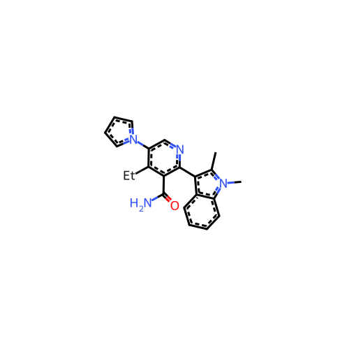 CCc1c(-n2cccc2)cnc(-c2c(C)n(C)c3ccccc23)c1C(N)=O